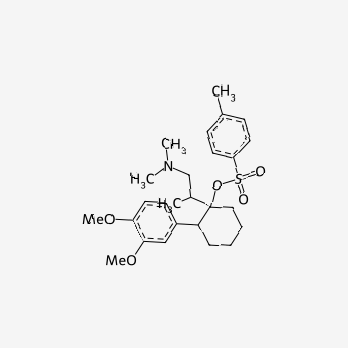 COc1ccc(C2CCCCC2(OS(=O)(=O)c2ccc(C)cc2)C(C)CN(C)C)cc1OC